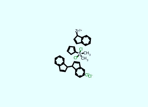 C1=CC(C2C=Cc3ccccc32)c2ccccc21.[CH3][Zr]([CH3])([Cl])([Cl])[C]1=CC=CC1.[Cl-].[Cl-].[Zr+2][CH]1C=Cc2ccccc21